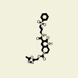 Cc1nnc(COC(=O)N2CCc3[nH]c(=O)c(C(=O)NC/C=C/S(=O)(=O)c4ccccc4)cc3C2)o1